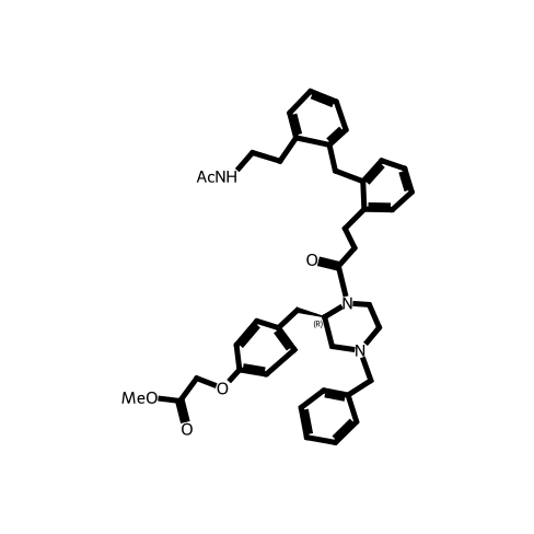 COC(=O)COc1ccc(C[C@@H]2CN(Cc3ccccc3)CCN2C(=O)CCc2ccccc2Cc2ccccc2CCNC(C)=O)cc1